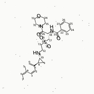 C=C(/C=C\C(C)=C/C)[C@@H]1C[C@H]1NCCS(=O)(=O)C[C@@H](NC(=O)c1ccccc1)C(=O)N1CCOCC1